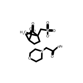 CC1(C)C2CCC1(CS(=O)(=O)[O-])C(=O)C2.CCCC(=O)C[S+]1CCOCC1